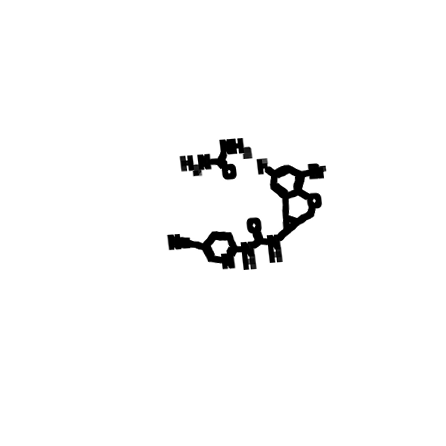 N#Cc1ccc(NC(=O)NC2C3COc4c(Br)cc(F)cc4C32)nc1.NC(N)=O